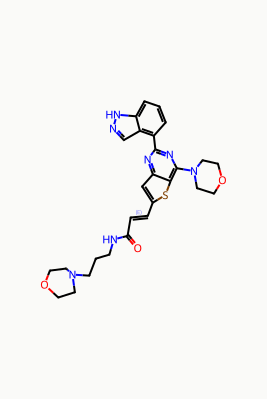 O=C(/C=C/c1cc2nc(-c3cccc4[nH]ncc34)nc(N3CCOCC3)c2s1)NCCCN1CCOCC1